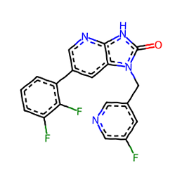 O=c1[nH]c2ncc(-c3cccc(F)c3F)cc2n1Cc1cncc(F)c1